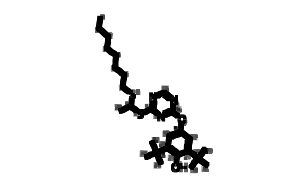 CCCCCCCCSC(C)Sc1ncnc(Oc2cc(C(C)(C)C)c(O)c(C(C)(C)C)c2)n1